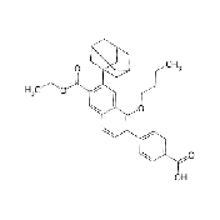 CCCCOc1c(-c2ccc(C(=O)O)cc2)ccc2cc(C(=O)OCC)c(C34CC5CC(CC(C5)C3)C4)cc12